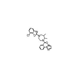 CC1CN(c2nc3cccc(Cl)c3o2)CCN(C(=O)c2ccccc2-n2nccn2)C1C